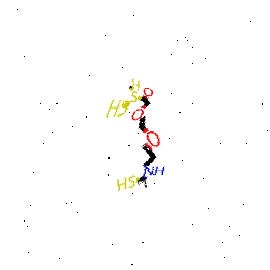 C[C@H](S)NCCCOCCOCC(=O)[SH](C)S